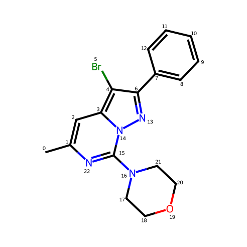 Cc1cc2c(Br)c(-c3ccccc3)nn2c(N2CCOCC2)n1